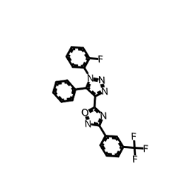 Fc1ccccc1-n1nnc(-c2nc(-c3cccc(C(F)(F)F)c3)no2)c1-c1ccccc1